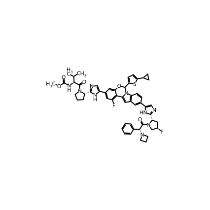 COC(=O)N[C@H](C(=O)N1CCC[C@H]1c1ncc(-c2cc(F)c3c(c2)OC(c2ccc(C4CC4)s2)n2c-3cc3cc(-c4cnc([C@@H]5C[C@@H](F)CN5C(=O)[C@@H](c5ccccc5)N5CCC5)[nH]4)ccc32)[nH]1)C(C)C